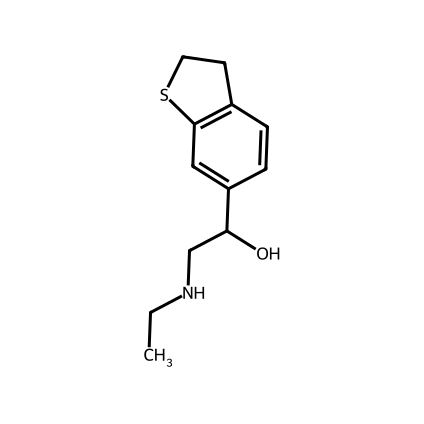 CCNCC(O)c1ccc2c(c1)SCC2